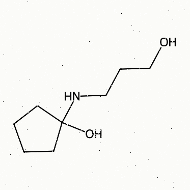 OCCCNC1(O)CCCC1